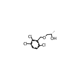 C[C@H](O)COCc1c(Cl)ccc(Cl)c1Cl